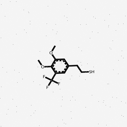 COc1cc(CCS)cc(C(F)(F)F)c1OC